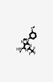 CNc1nc(C(F)(F)F)nc2c1ncn2-c1cccc(SC)c1